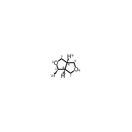 I[C@H]1OC[C@@H]2COC[C@@H]21